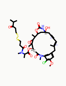 COc1cc2cc(c1Cl)N(C)C(=O)C[C@@H](OC(=O)C(C)N(C)C(=O)CCSSCCC(=O)C(C)C)C1(C)OC1C(C)C1C[C@@](O)(C/C=C/C=C(\C)C2)NC(=O)O1